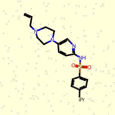 C=CCN1CCN(c2ccc(NS(=O)(=O)c3ccc(C(C)C)cc3)nc2)CC1